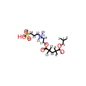 CC(C)COC(=O)C(C)(C)CC(C)(C)C(=O)OCC[N+](C)(C)CCCS(=O)(=O)O